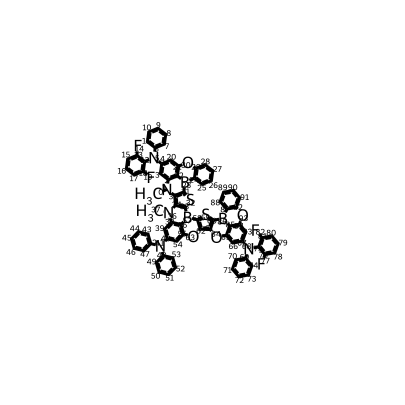 CN1c2cc(N(c3ccccc3)c3c(F)cccc3F)cc3c2B(c2ccccc2O3)c2sc3c(c21)N(C)c1cc(N(c2ccccc2)c2ccccc2)cc2c1B3c1sc3c(c1O2)Oc1cc(N(c2ccccc2)c2c(F)cccc2F)cc2c1B3c1ccccc1O2